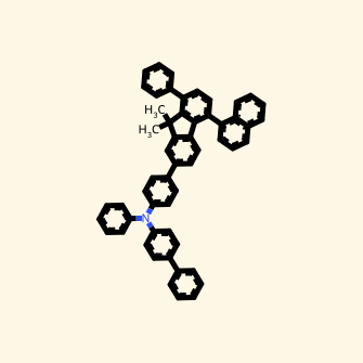 CC1(C)c2cc(-c3ccc(N(c4ccccc4)c4ccc(-c5ccccc5)cc4)cc3)ccc2-c2c(-c3cccc4ccccc34)ccc(-c3ccccc3)c21